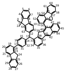 CC1(C)c2ccccc2-c2ccc(C(c3ccc(-c4cccc5c4Cc4ccccc4-5)cc3)c3cccc4c3Cc3c-4cc4ccccc4c3-c3cccc4c3oc3ccccc34)cc21